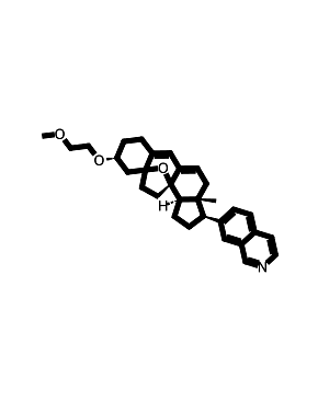 COCCO[C@@H]1CCC2=CC3=CC[C@]4(C)[C@@H](c5ccc6ccncc6c5)CC[C@H]4[C@@]34CCC2(C1)O4